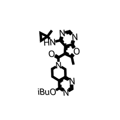 Cc1oc2ncnc(NC3(C)CC3)c2c1C(=O)N1CCc2c(ncnc2OCC(C)C)C1